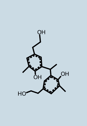 Cc1cc(CCO)cc(C(C)c2cc(CCO)cc(C)c2O)c1O